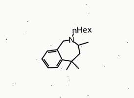 CCCCCCN1Cc2ccccc2C(C)(C)CC1C